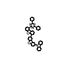 c1ccc(-c2nc(-c3ccccc3)nc(-c3cccc4oc5c(-c6ccc7oc8ccc(-n9c%10ccccc%10c%10ccccc%109)cc8c7c6)cccc5c34)n2)cc1